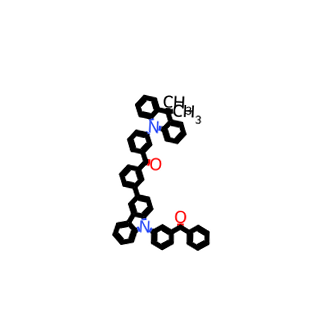 CC1(C)c2ccccc2N(c2cccc(C(=O)c3cccc(-c4ccc5c(c4)c4ccccc4n5-c4cccc(C(=O)c5ccccc5)c4)c3)c2)c2ccccc21